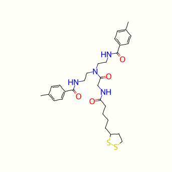 Cc1ccc(C(=O)NCCN(CCNC(=O)c2ccc(C)cc2)C(=O)CNC(=O)CCCCC2CCSS2)cc1